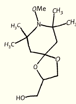 CON1C(C)(C)CC2(CC1(C)C)OCC(CO)O2